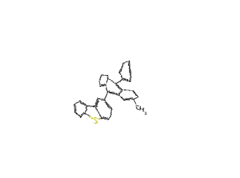 Cc1ccc2c(-c3ccccc3)c3ccccc3c(-c3ccc4sc5ccccc5c4c3)c2c1